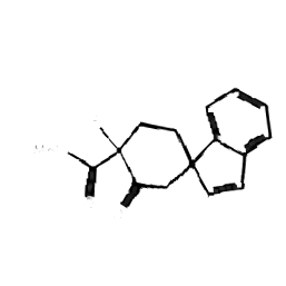 COC(=O)C1(F)CCC2(C=Cc3ccccc32)CC1=O